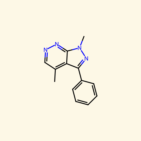 Cc1cnnc2c1c(-c1ccccc1)nn2C